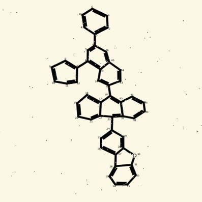 c1ccc(-c2cc(-c3ccccc3)c3cc(-c4c5ccccc5c(-c5ccc6c(c5)oc5ccccc56)c5ccccc45)ccc3c2)cc1